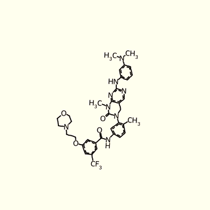 Cc1ccc(NC(=O)c2cc(OCCN3CCOCC3)cc(C(F)(F)F)c2)cc1N1Cc2cnc(Nc3cccc(N(C)C)c3)nc2N(C)C1=O